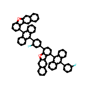 Fc1cccc(-c2c3ccccc3c(-c3ccc(-c4ccc(-c5c6ccccc6c(-c6cccc7oc8cc9ccccc9cc8c67)c6ccccc56)c(F)c4)c4oc5cc6ccccc6cc5c34)c3ccccc23)c1